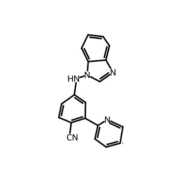 N#Cc1ccc(Nn2cnc3ccccc32)cc1-c1cc[c]cn1